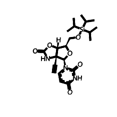 C#C[C@@]12NC(=O)O[C@@H]1[C@@H](CO[Si](C(C)C)(C(C)C)C(C)C)O[C@H]2n1ccc(=O)[nH]c1=O